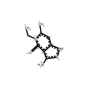 CCn1c(C)cc2[nH]nc(N)c2c1=O